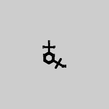 CC(C)(O)c1ccnc(C(F)(F)F)n1